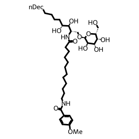 CCCCCCCCCCCCCC[C@@H](O)[C@@H](O)[C@H](CO[C@H]1O[C@H](CO)[C@H](O)[C@H](O)[C@H]1O)NC(=O)CCCCCCCCCCCNC(=O)c1ccc(OC)cc1